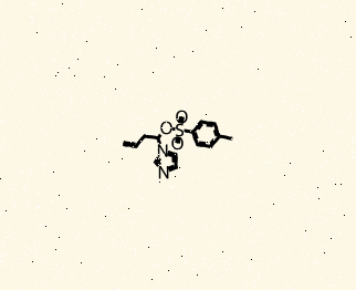 C=CCC(OS(=O)(=O)c1ccc(C)cc1)n1ccnc1